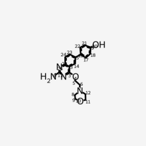 Nc1nc(OCCN2CCOCC2)c2cc(-c3ccc(O)cc3)ccc2n1